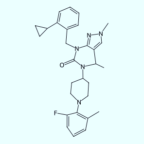 Cc1cccc(F)c1N1CCC(N2C(=O)N(Cc3ccccc3C3CC3)c3nn(C)cc3C2C)CC1